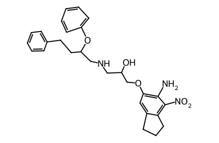 Nc1c(OCC(O)CNCC(CCc2ccccc2)Oc2ccccc2)cc2c(c1[N+](=O)[O-])CCC2